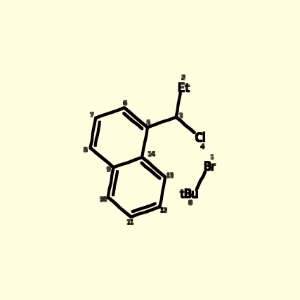 CC(C)(C)Br.CCC(Cl)c1cccc2ccccc12